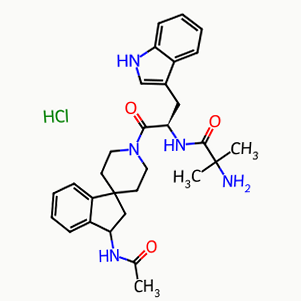 CC(=O)NC1CC2(CCN(C(=O)[C@@H](Cc3c[nH]c4ccccc34)NC(=O)C(C)(C)N)CC2)c2ccccc21.Cl